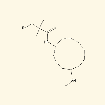 CBC1CCCCCCC(BC(=O)C(C)(C)CC(C)C)CCC1